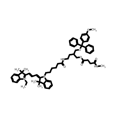 CC[N+]1=C(/C=C/C=C2/N(CCCCCC(=O)NCCC(COC(=O)CCC(=O)NC)COC(c3ccccc3)(c3ccccc3)c3ccc(OC)cc3)c3ccccc3C2(C)C)C(C)(C)c2ccccc21